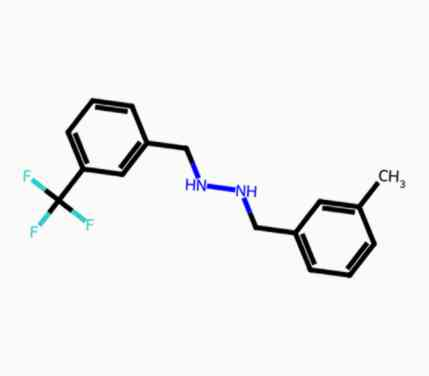 Cc1cccc(CNNCc2cccc(C(F)(F)F)c2)c1